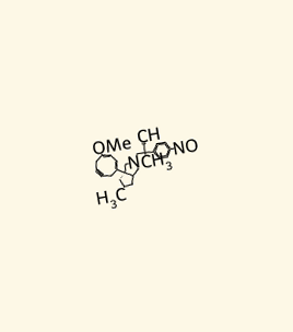 C#CC(C)(CN1CC2C[C@@H](C)C[C@]2(/C2=C/C=C(/OC)CC#CC2)C1)c1ccc(N=O)cc1